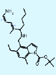 CCCCC(NCc1c(CC)cc(C)c2c1ccn2C(=O)OC(C)(C)C)/C(C)=C/C=C\N